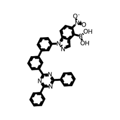 O=[N+]([O-])c1ccc2c(cnn2-c2cccc(-c3cccc(-c4nc(-c5ccccc5)nc(-c5ccccc5)n4)c3)c2)c1B(O)O